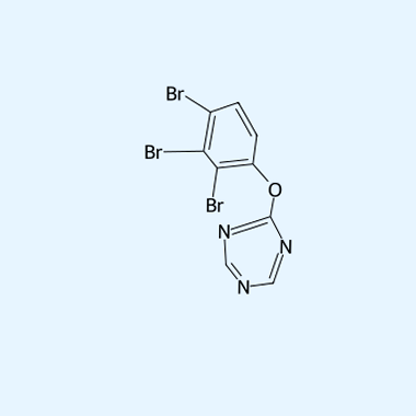 Brc1ccc(Oc2ncncn2)c(Br)c1Br